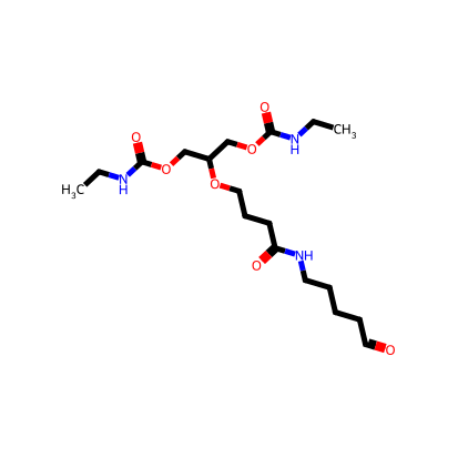 CCNC(=O)OCC(COC(=O)NCC)OCCCC(=O)NCCCCC=O